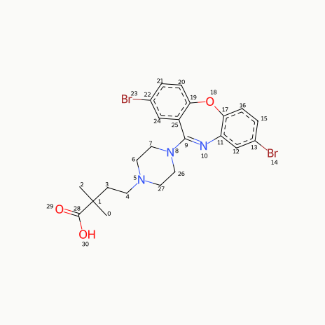 CC(C)(CCN1CCN(C2=Nc3cc(Br)ccc3Oc3ccc(Br)cc32)CC1)C(=O)O